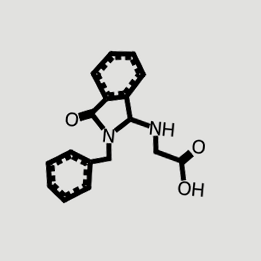 O=C(O)CNC1c2ccccc2C(=O)N1Cc1ccccc1